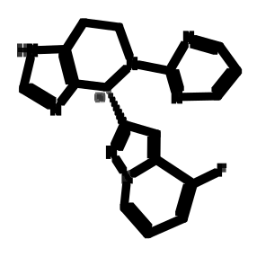 Fc1cccn2nc([C@@H]3c4nc[nH]c4CCN3c3ncccn3)cc12